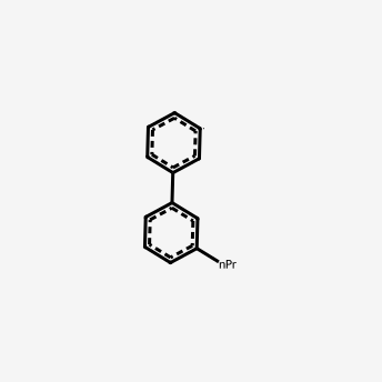 CCCc1cccc(-c2c[c]ccc2)c1